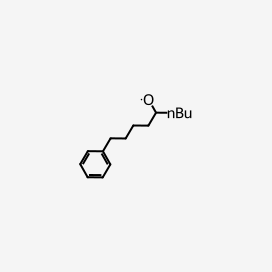 CCCCC([O])CCCCc1ccccc1